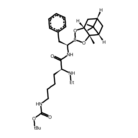 CCN[C@@H](CCCCNC(=O)OC(C)(C)C)C(=O)N[C@@H](Cc1ccccc1)B1O[C@@H]2C[C@@H]3C[C@@H](C3(C)C)[C@]2(C)O1